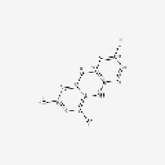 CC(=O)c1cc(O)cc2c1Nc1ccc(O)cc1O2